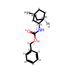 O=C(N[C@H]1C[C@@H]2CC[C@@H]1C2)OCc1ccccc1